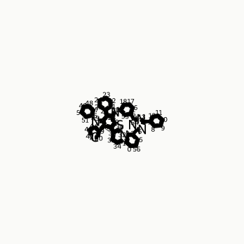 c1ccc(-c2nc(-c3ccccc3)nc(-c3cccc(-n4c5ccccc5c5c4c4sc6ncccc6c4c4c6ccccc6n(-c6ccccc6)c45)c3)n2)cc1